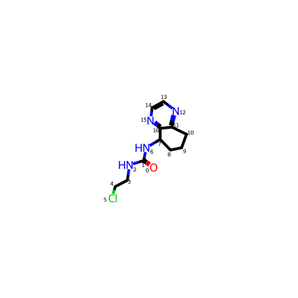 O=C(NCCCl)NC1CCCc2nccnc21